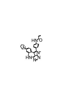 C=CC(=O)Nc1ccc(-c2c3c4c(ncnc4n2C)NCc2cc(N4CCCC4)ccc2-3)cc1